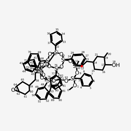 CO[Si]1(c2ccccc2)O[Si](C)(CCC2CCC(O)C(C)C2)O[Si]2(c3ccccc3)O[Si]3(c4ccccc4)O[SiH](c4ccccc4)O[Si]4(c5ccccc5)O[Si](C)(CCC5CCC6OC6C5)O[Si](c5ccccc5)(O3)O[Si](c3ccccc3)(O2)O[Si](c2ccccc2)(O1)O4